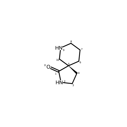 O=C1NCC[C@@]12CCCNC2